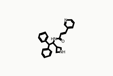 O=C(C=Cc1cccnc1)NC(C1CNC1)C(c1ccccc1)c1ccccc1